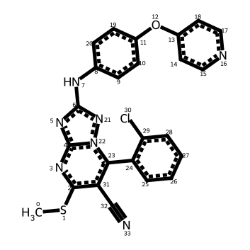 CSc1nc2nc(Nc3ccc(Oc4ccncc4)cc3)nn2c(-c2ccccc2Cl)c1C#N